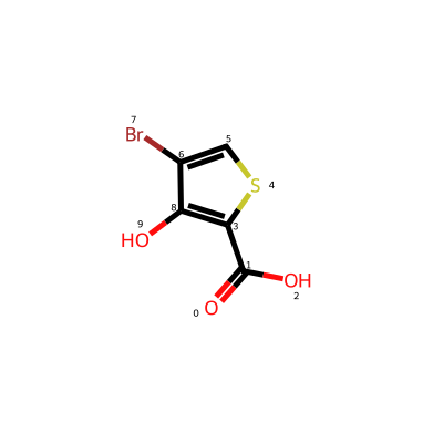 O=C(O)c1scc(Br)c1O